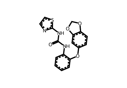 O=C(Nc1nccs1)Nc1ccccc1Oc1ccc2c(c1)OCO2